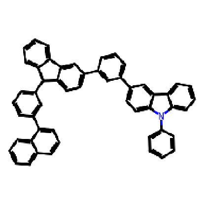 c1ccc(-n2c3ccccc3c3cc(-c4cccc(-c5ccc6c(c5)-c5ccccc5C6c5cccc(-c6cccc7ccccc67)c5)c4)ccc32)cc1